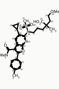 CNC(=O)c1c(-c2ccc(C)cc2)oc2nc(N(CCCC(C)(CCOC)C(=O)O)S(C)(=O)=O)c(C3CC3)cc12